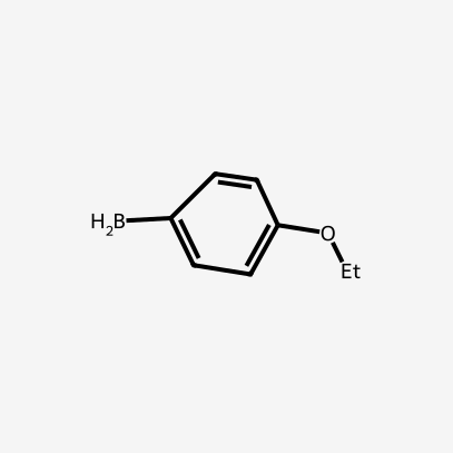 Bc1ccc(OCC)cc1